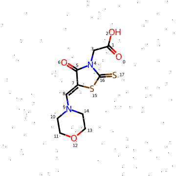 O=C(O)CN1C(=O)C(=CN2CCOCC2)SC1=S